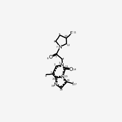 Cc1cn(CC(=O)N2CCC(F)C2)c(=O)n2c(I)cnc12